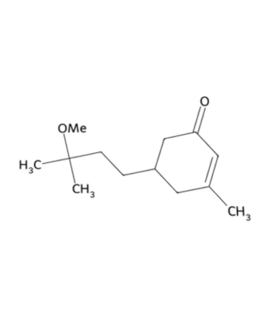 COC(C)(C)CCC1CC(=O)C=C(C)C1